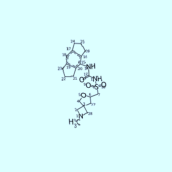 CN1CC2(COC(CS(=O)(=O)NC(=O)Nc3c4c(cc5c3CCC5)CCC4)C2)C1